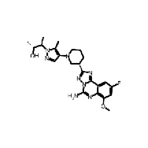 COc1cc(F)cc2c1nc(N)n1nc([C@@H]3CCCN(c4cnn([C@H](C)[C@@H](C)O)c4C)C3)nc21